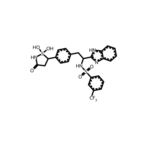 O=C1CC(c2ccc(CC(NS(=O)(=O)c3cccc(C(F)(F)F)c3)c3nc4ccccc4[nH]3)cc2)S(O)(O)N1